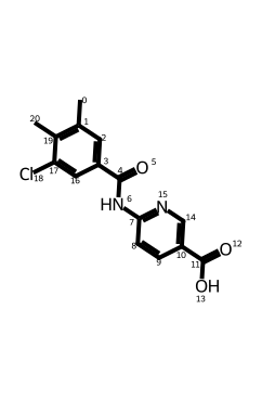 Cc1cc(C(=O)Nc2ccc(C(=O)O)cn2)cc(Cl)c1C